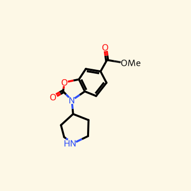 COC(=O)c1ccc2c(c1)oc(=O)n2C1CCNCC1